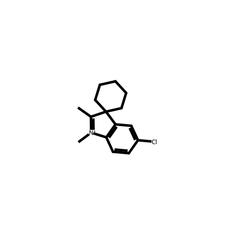 CC1=[N+](C)c2ccc(Cl)cc2C12CCCCC2